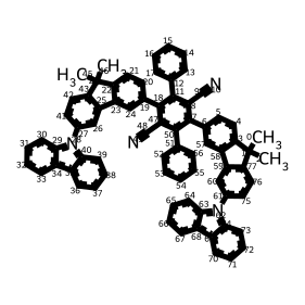 CC1(C)c2ccc(-c3c(C#N)c(-c4ccccc4)c(-c4ccc5c(c4)-c4cc(-n6c7ccccc7c7ccccc76)ccc4C5(C)C)c(C#N)c3-c3ccccc3)cc2-c2cc(-n3c4ccccc4c4ccccc43)ccc21